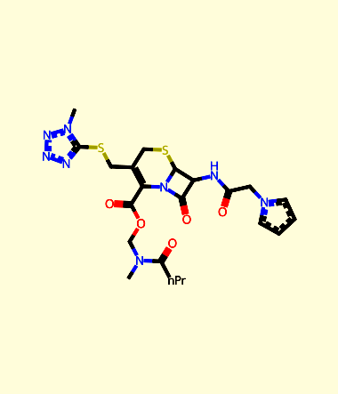 CCCC(=O)N(C)COC(=O)C1=C(CSc2nnnn2C)CSC2C(NC(=O)Cn3cccc3)C(=O)N12